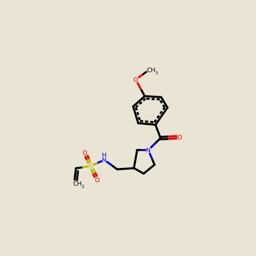 C=CS(=O)(=O)NCC1CCN(C(=O)c2ccc(OC)cc2)C1